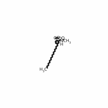 CCCCCCCCCCCCCCCCCCc1ccc(I(=O)=O)c(C(=O)NC(C)=O)c1